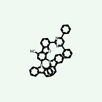 N#Cc1cc(-n2c3ccccc3c3ccccc32)c(-n2c3ccccc3c3ccccc32)c2oc3c(-c4nc(-c5ccccc5)cc(-c5ccccc5)n4)cccc3c12